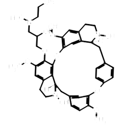 COc1ccc2cc1Oc1ccc(cc1)C[C@H]1c3cc(c(OC)cc3CCN1C)Oc1c(OCC(O)CN(C)CCO)c(OC)cc3c1[C@H](C2)N(C)CC3